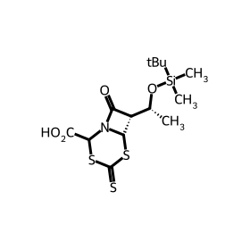 C[C@@H](O[Si](C)(C)C(C)(C)C)[C@H]1C(=O)N2C(C(=O)O)SC(=S)SC12